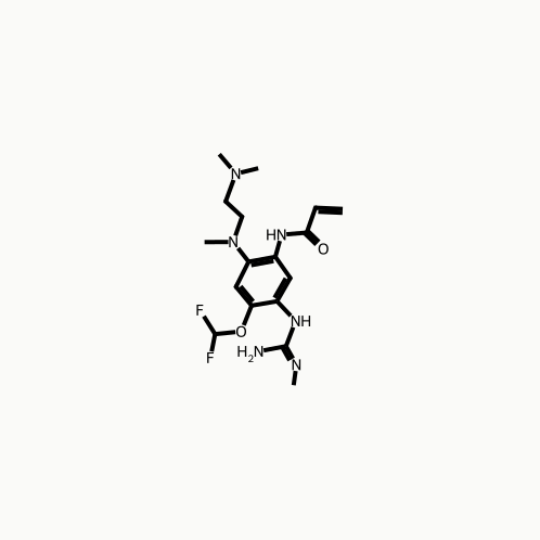 C=CC(=O)Nc1cc(N/C(N)=N/C)c(OC(F)F)cc1N(C)CCN(C)C